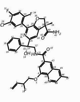 C=CC(F)COc1cc(C(=O)NC[C@@](O)(c2ccccc2)c2cc3c(c(-c4cc(Cl)c(F)cc4F)n2)OC[C@]3(C)C(N)=O)cc2cc(C)cnc12